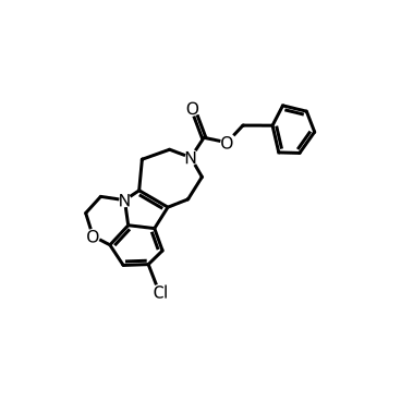 O=C(OCc1ccccc1)N1CCc2c(n3c4c(cc(Cl)cc24)OCC3)CC1